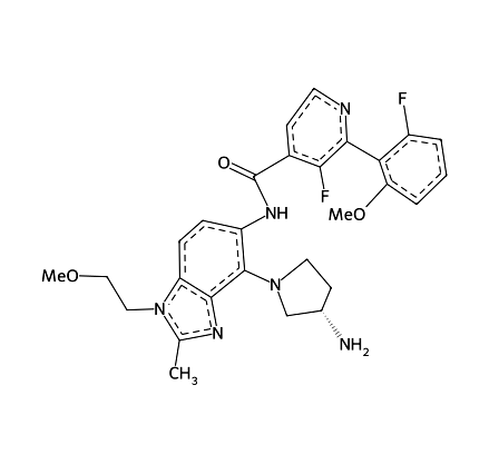 COCCn1c(C)nc2c(N3CC[C@H](N)C3)c(NC(=O)c3ccnc(-c4c(F)cccc4OC)c3F)ccc21